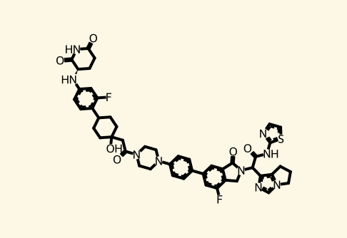 O=C1CC[C@H](Nc2ccc(C3CCC(O)(CC(=O)N4CCN(c5ccc(-c6cc(F)c7c(c6)C(=O)N(C(C(=O)Nc6nccs6)c6ncn8c6CCC8)C7)cc5)CC4)CC3)c(F)c2)C(=O)N1